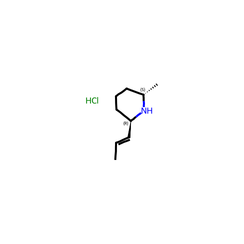 CC=C[C@H]1CCC[C@H](C)N1.Cl